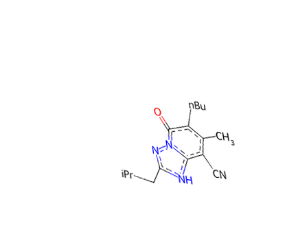 CCCCc1c(C)c(C#N)c2[nH]c(CC(C)C)nn2c1=O